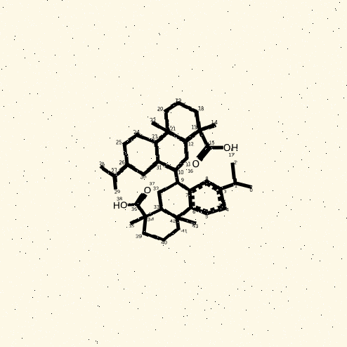 CC(C)c1ccc2c(c1)C(C1CC3C(C)(C(=O)O)CCCC3(C)C3CCC(C(C)C)CC13)CC1C(C)(C(=O)O)CCCC21C